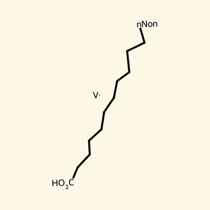 CCCCCCCCCCCCCCCCCCCC(=O)O.[V]